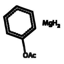 CC(=O)Oc1ccccc1.[MgH2]